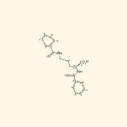 O=C(NCCC[C@H](NC(=O)c1ccccc1)C(=O)O)c1ccccc1